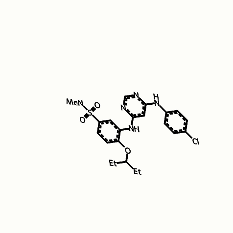 CCC(CC)Oc1ccc(S(=O)(=O)NC)cc1Nc1cc(Nc2ccc(Cl)cc2)ncn1